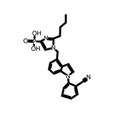 CCCCc1nc(P(=O)(O)O)cn1Cc1cccc2c1ccn2-c1ccccc1C#N